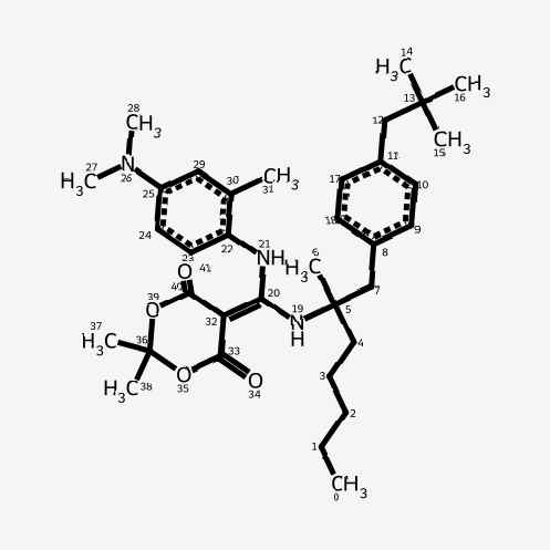 CCCCCC(C)(Cc1ccc(CC(C)(C)C)cc1)NC(Nc1ccc(N(C)C)cc1C)=C1C(=O)OC(C)(C)OC1=O